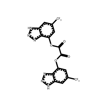 O=C(Oc1cc(C(F)(F)F)cc2[nH]nnc12)C(=O)Oc1cc(C(F)(F)F)cc2[nH]nnc12